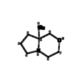 CC(C)(C)C12CCCN1CCOC2